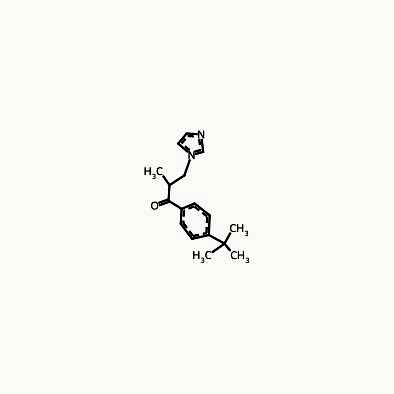 CC(Cn1ccnc1)C(=O)c1ccc(C(C)(C)C)cc1